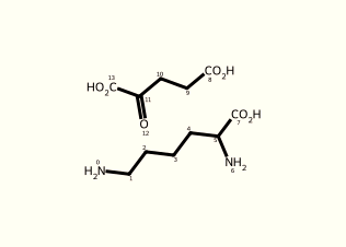 NCCCCC(N)C(=O)O.O=C(O)CCC(=O)C(=O)O